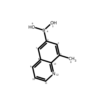 Cc1cc(B(O)O)cc2cccnc12